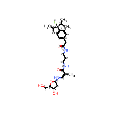 C/C(=C/NC1C[C@H](O)[C@@H](CO)O1)C(=O)NCCCNC(=O)Cc1ccc([Si](F)(C(C)C)C(C)C)cc1